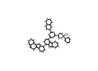 CC1(c2ccccc2)C=CC(c2nc(-c3ccc4ccccc4c3)nc(-c3ccc(-c4cccc5c4sc4c6ccccc6ccc54)c4oc5ccccc5c34)n2)=CC1